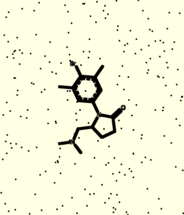 Cc1cc(N2C(=O)CCC2CN(C)C)cc(C)c1Br